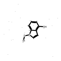 CCOn1ccc2c(O)cccc21